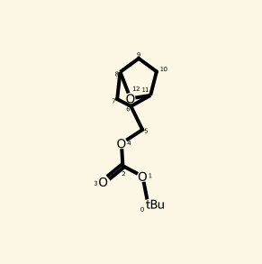 CC(C)(C)OC(=O)OCC1CC2CCC1O2